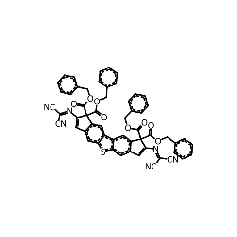 N#CC(C#N)=NC1=Cc2cc3sc4cc5c(cc4c3cc2C1(C(=O)OCc1ccccc1)C(=O)OCc1ccccc1)C(C(=O)OCc1ccccc1)(C(=O)OCc1ccccc1)C(N=C(C#N)C#N)=C5